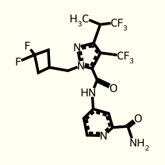 CC(c1nn(CC2CC(F)(F)C2)c(C(=O)Nc2ccnc(C(N)=O)c2)c1C(F)(F)F)C(F)(F)F